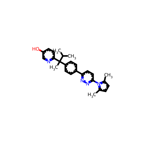 Cc1ccc(C)n1-c1ccc(-c2ccc(C(C)(c3ccc(O)cn3)C(C)C)cc2)nn1